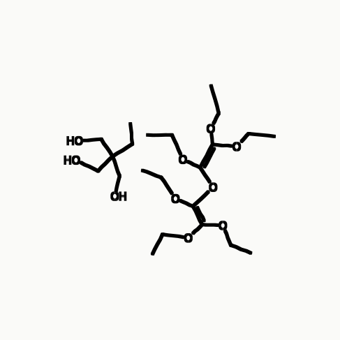 CCC(CO)(CO)CO.CCOC(OCC)=C(OCC)OC(OCC)=C(OCC)OCC